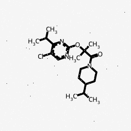 CC(C)c1nc(OC(C)(C)C(=O)N2CCC(C(C)C)CC2)ncc1Cl